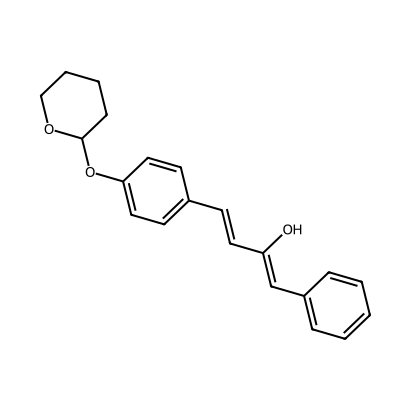 OC(C=Cc1ccc(OC2CCCCO2)cc1)=Cc1ccccc1